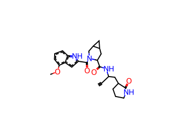 C#CC(CC1CCCNC1=O)NC(=O)C1CC2CC2CN1C(=O)c1cc2c(OC)cccc2[nH]1